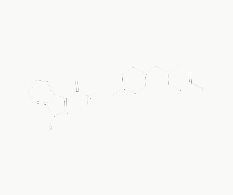 CCCn1nc(C(=O)NCCN2CCN(Cc3ccc(F)cc3)CC2)c2ccccc21